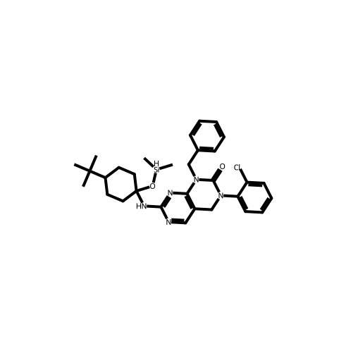 C[SiH](C)OC1(Nc2ncc3c(n2)N(Cc2ccccc2)C(=O)N(c2ccccc2Cl)C3)CCC(C(C)(C)C)CC1